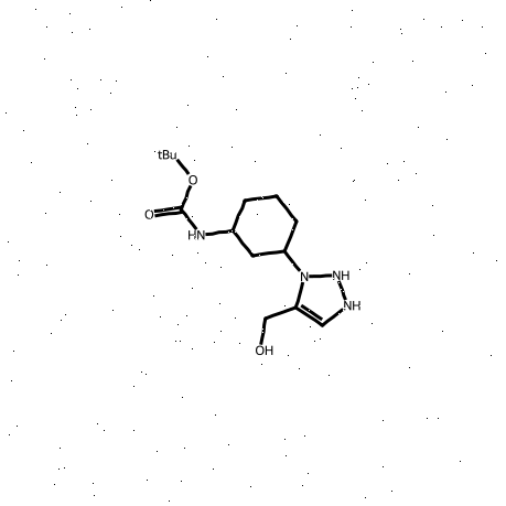 CC(C)(C)OC(=O)NC1CCCC(N2NNC=C2CO)C1